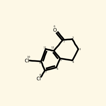 O=C1CCCc2cc(Cl)c(Cl)cc21